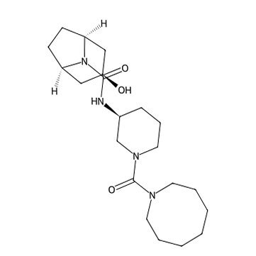 O=C(N1CCCCCCC1)N1CCC[C@H](NC(=O)N2[C@@H]3CC[C@H]2C[C@@H](O)C3)C1